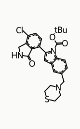 CC(C)(C)OC(=O)n1c(-c2ccc(Cl)c3c2C(=O)NC3)cc2cc(CN3CCSCC3)ccc21